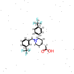 O=C(O)C[C@@H]1CCN(Cc2cccc(C(F)(F)F)c2)[C@H](c2ccc(C(F)(F)F)cc2)C1